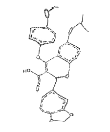 COc1ccc(OC2=C(C(=O)O)C(c3ccc4c(c3)OCO4)Oc3ccc(OC(C)C)cc32)cc1